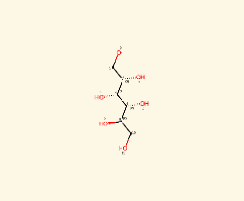 [O]C[C@H](O)[C@@H](O)[C@H](O)[C@H](O)CO